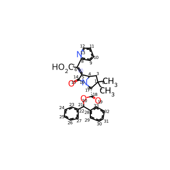 CC1(C)CC2/C(=C(/C(=O)O)c3ccccn3)C(=O)N2[C@H]1C(=O)OC(c1ccccc1)c1ccccc1